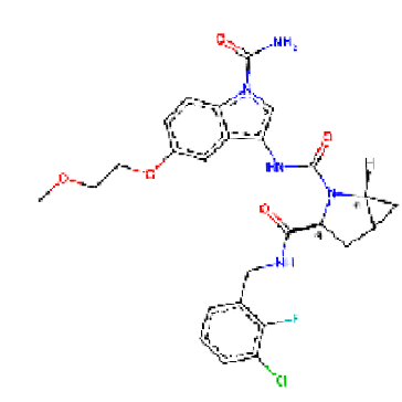 COCCOc1ccc2c(c1)c(NC(=O)N1[C@@H]3CC3C[C@H]1C(=O)NCc1cccc(Cl)c1F)cn2C(N)=O